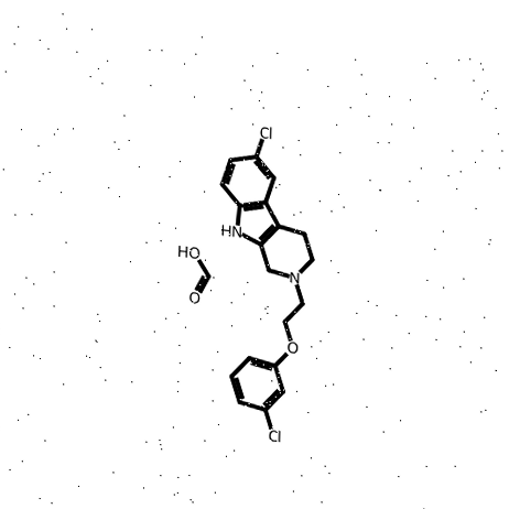 Clc1cccc(OCCN2CCc3c([nH]c4ccc(Cl)cc34)C2)c1.O=CO